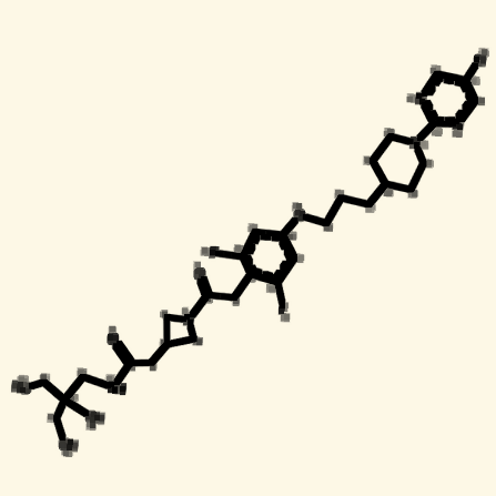 O=C(CC1CN(C(=O)Cc2c(F)cc(OCCCC3CCN(c4ncc(Cl)cn4)CC3)cc2F)C1)NCC(O)(CO)CO